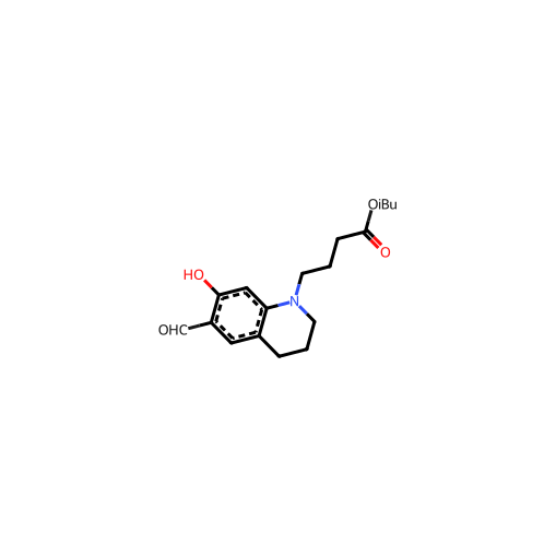 CC(C)COC(=O)CCCN1CCCc2cc(C=O)c(O)cc21